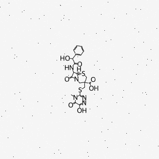 Cn1c(SCC2(C(=O)O)CS[C@@H]3C(NC(=O)C(O)c4ccccc4)C(=O)N3C2)nnc(O)c1=O